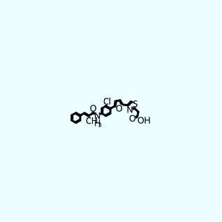 C/C(=C\c1ccccc1)C(=O)Nc1ccc(-c2ccc(-c3csc(CC(=O)O)n3)o2)c(Cl)c1